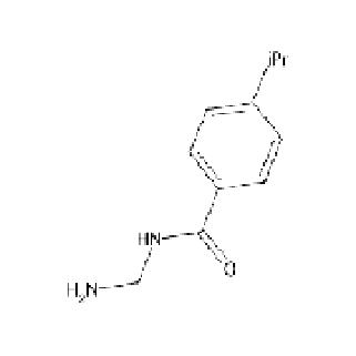 CC(C)c1ccc(C(=O)NCN)cc1